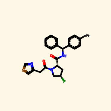 CC(C)c1ccc([C@@H](NC(=O)[C@@H]2C[C@@H](F)CN2C(=O)Cc2cscn2)c2ccccc2)cc1